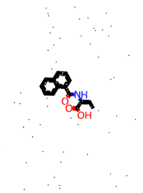 C/C=C(/NC(=O)c1cccc2ccccc12)C(=O)O